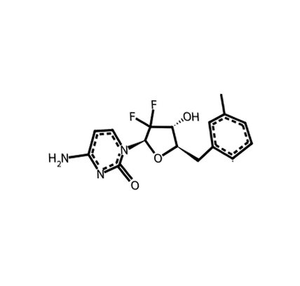 Cc1cc[c]c(C[C@H]2O[C@@H](n3ccc(N)nc3=O)C(F)(F)[C@@H]2O)c1